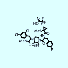 CCCC1C(=O)N(C(Cc2ccc(Cl)cc2Cl)C(=O)NC)CCN1C(=O)C(Cc1ccc(F)cc1)NC(=O)C1(NC)CC1.O=C(O)C(F)(F)F